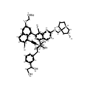 COCOc1cc(-c2nc(NCCc3cccc(C(O)CO)c3)c3cnc(OC[C@@]45CCCN4C[C@H](F)C5)nc3c2F)c2c(C#C[Si](C(C)C)(C(C)C)C(C)C)c(F)ccc2c1